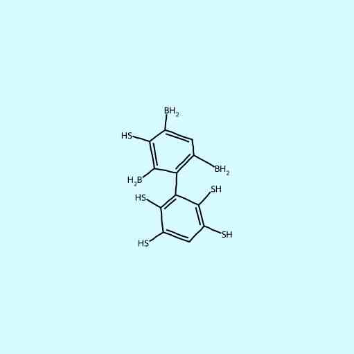 Bc1cc(B)c(-c2c(S)c(S)cc(S)c2S)c(B)c1S